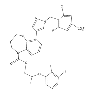 Cc1c(Cl)cccc1OC(C)COC(=O)N1CCCOc2c(-c3cnn(Cc4c(F)cc(C(=O)O)cc4Cl)c3)cccc21